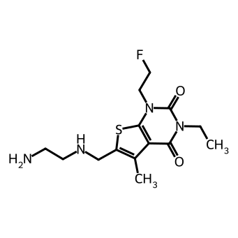 CCn1c(=O)c2c(C)c(CNCCN)sc2n(CCF)c1=O